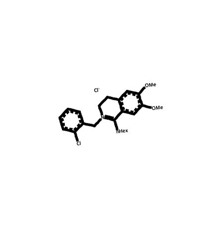 CCCCCCC1=[N+](Cc2ccccc2Cl)CCc2cc(OC)c(OC)cc21.[Cl-]